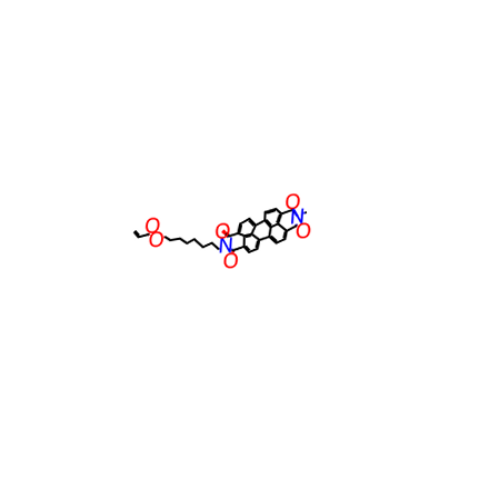 C=CC(=O)OCCCCCCCCN1C(=O)c2ccc3c4ccc5c6c(ccc(c7ccc(c2c37)C1=O)c64)C(=O)N(C)C5=O